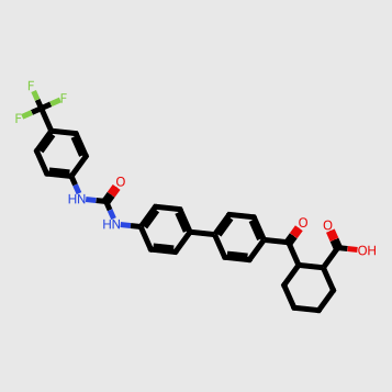 O=C(Nc1ccc(-c2ccc(C(=O)C3CCCCC3C(=O)O)cc2)cc1)Nc1ccc(C(F)(F)F)cc1